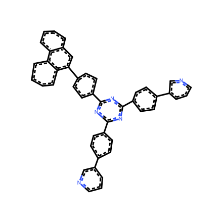 c1cncc(-c2ccc(-c3nc(-c4ccc(-c5cccnc5)cc4)nc(-c4ccc(-c5cc6ccccc6c6ccccc56)cc4)n3)cc2)c1